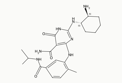 Cc1ccc(C(=O)NC(C)C)cc1Nc1nc(N[C@H]2CCCC[C@@H]2N)[nH]c(=O)c1C(N)=O